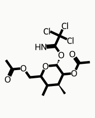 CC(=O)OCC1O[C@H](OC(=N)C(Cl)(Cl)Cl)C(OC(C)=O)[C@@H](C)C1C